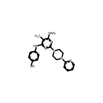 CCCc1ccc(Nc2nc(N3CCN(c4ccccn4)CC3)nc(NC)c2C)cc1